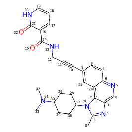 Cc1nc2cnc3ccc(C#CCNC(=O)c4ccc[nH]c4=O)cc3c2n1C1CCC(N(C)C)CC1